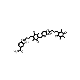 CC1=C(C)C(=O)C(CCCc2nc3ccc(CC4=C(C)C(=O)C(CCCc5nc6ccc(C(N)=O)cc6[nH]5)=C(C)C4=O)nc3[nH]2)=C(C)C1=O